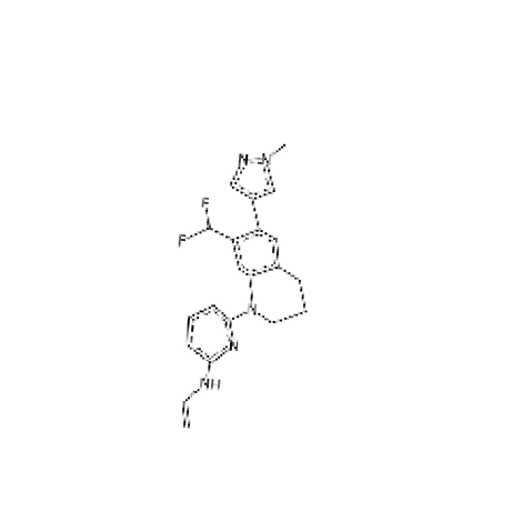 C=CNc1cccc(N2CCCc3cc(-c4cnn(C)c4)c(C(F)F)cc32)n1